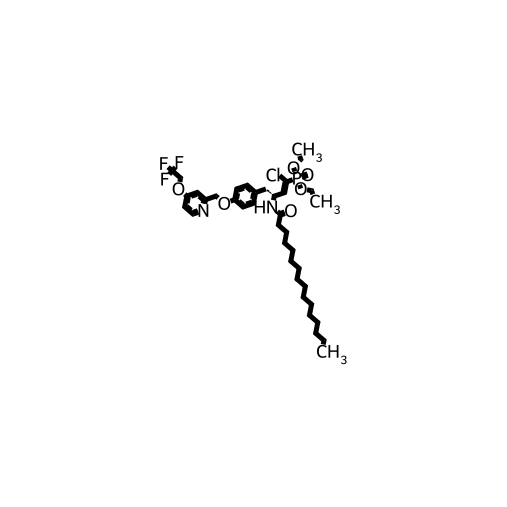 CCCCCCCCCCCCCCCC(=O)N[C@@H](/C=C(\Cl)P(=O)(OCC)OCC)Cc1ccc(OCc2cc(OCC(F)(F)F)ccn2)cc1